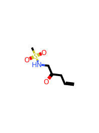 C=CCC(=O)CNS(C)(=O)=O